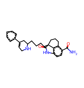 NC(=O)c1ccc2c3c1CCCC3(CCCCC1CC(c3ccccc3)=CCN1)C(=O)N2